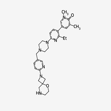 CCc1nc(N2CCN(Cc3ccc(N4CC5(CNCCO5)C4)nc3)CC2)ccc1-c1cc(C)c(=O)n(C)c1